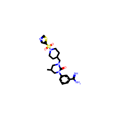 CC1CN(CC2CCN(S(=O)(=O)c3cncs3)CC2)C(=O)N(c2cccc(C(=N)N)c2)C1